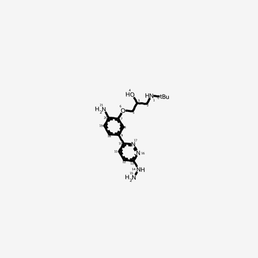 CC(C)(C)NCC(O)COc1cc(-c2ccc(NN)nn2)ccc1N